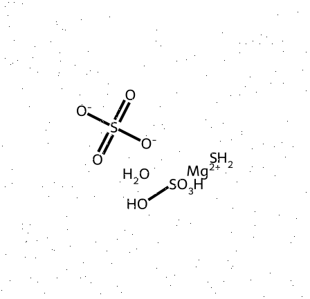 O.O=S(=O)(O)O.O=S(=O)([O-])[O-].S.[Mg+2]